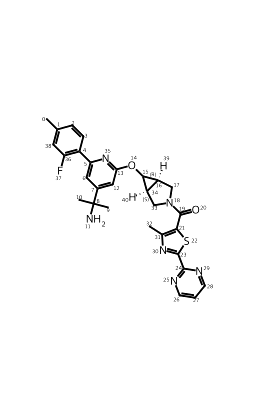 Cc1ccc(-c2cc(C(C)(C)N)cc(OC3[C@H]4CN(C(=O)c5sc(-c6ncccn6)nc5C)C[C@@H]34)n2)c(F)c1